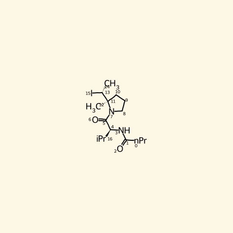 CCCC(=O)N[C@H](C(=O)N1CCC[C@]1(C)[C@@H](C)I)C(C)C